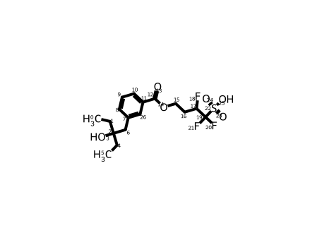 CCC(O)(CC)Cc1cccc(C(=O)OCCC(F)C(F)(F)S(=O)(=O)O)c1